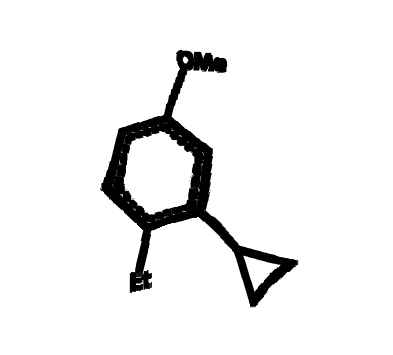 CCc1ccc(OC)cc1C1CC1